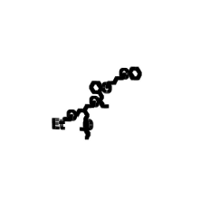 C/C=C(\C)OCCC(CCO/C=C/CC)CCO/C(=C/C)CC1CCCC=C1OCCCCOC1=CCCCC1